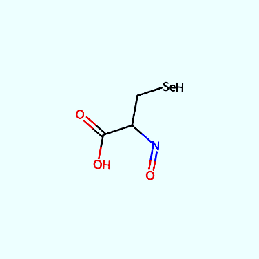 O=NC(C[SeH])C(=O)O